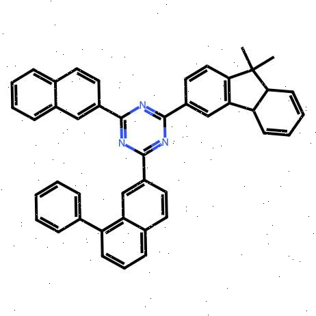 CC1(C)c2ccc(-c3nc(-c4ccc5ccccc5c4)nc(-c4ccc5cccc(-c6ccccc6)c5c4)n3)cc2C2C=CC=CC21